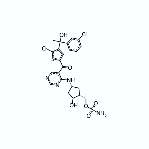 CC(O)(c1cccc(Cl)c1)c1cc(C(=O)c2cncnc2N[C@@H]2C[C@H](COS(N)(=O)=O)[C@@H](O)C2)sc1Cl